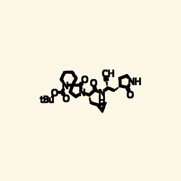 C#C[C@H](C[C@@H]1CCNC1=O)NC(=O)[C@H](CC1CC1)N1CCC2(CCCCN2C(=O)OC(C)(C)C)C1=O